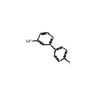 N#Cc1cccc(-c2ccc(I)cc2)c1